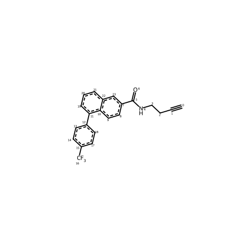 C#CCCNC(=O)c1ccc2c(-c3ccc(C(F)(F)F)cc3)cccc2c1